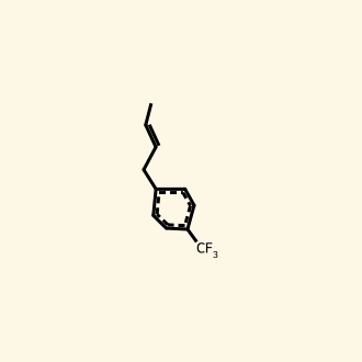 CC=CCc1ccc(C(F)(F)F)cc1